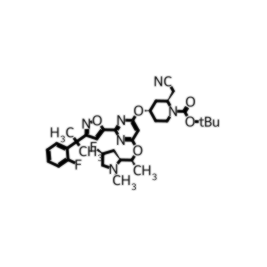 C[C@H](Oc1cc(O[C@H]2CCN(C(=O)OC(C)(C)C)[C@H](CC#N)C2)nc(-c2cc(C(C)(C)c3ccccc3F)no2)n1)[C@@H]1C[C@H](F)CN1C